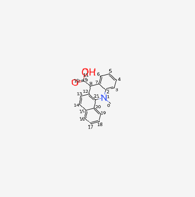 CN1c2ccccc2C(C(=O)O)c2ccc3ccccc3c21